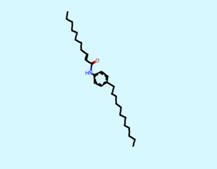 CCCCCCCCC=CC(=O)Nc1ccc(CCCCCCCCCCCC)cc1